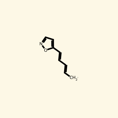 [CH2]C=CC=Cc1ccno1